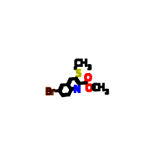 CCSc1cc2cc(Br)ccc2nc1C(=O)OC